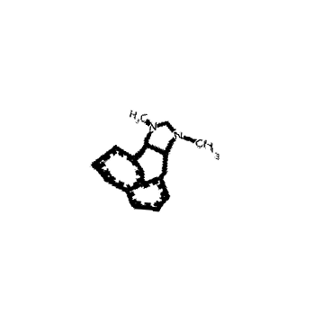 CN1CN(C)C2c3cccc4cccc(c34)C21